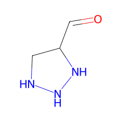 O=CC1CNNN1